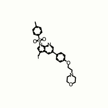 Cc1ccc(S(=O)(=O)n2cc(I)c3cc(-c4ccc(OCCN5CCOCC5)cc4)cnc32)cc1